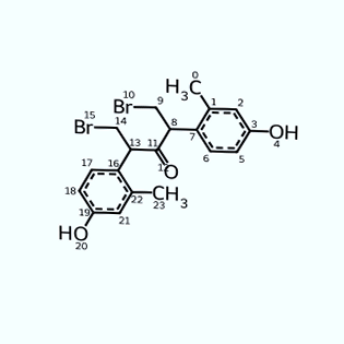 Cc1cc(O)ccc1C(CBr)C(=O)C(CBr)c1ccc(O)cc1C